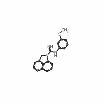 CSc1cccc(NC(=N)N2Cc3cccc4cccc2c34)c1